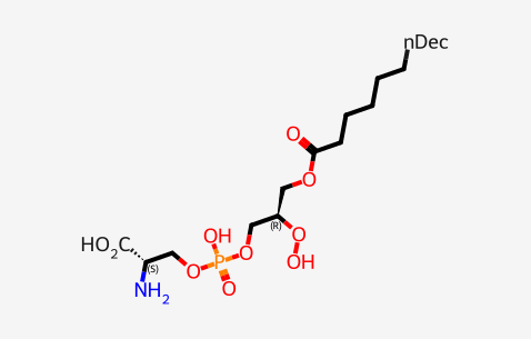 CCCCCCCCCCCCCCCC(=O)OC[C@H](COP(=O)(O)OC[C@H](N)C(=O)O)OO